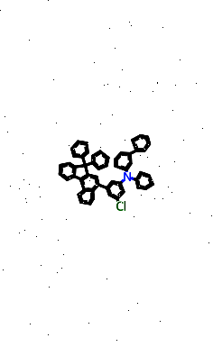 Clc1cc(-c2cc3c(c4ccccc24)-c2ccccc2C3(c2ccccc2)c2ccccc2)cc(N(c2ccccc2)c2cccc(-c3ccccc3)c2)c1